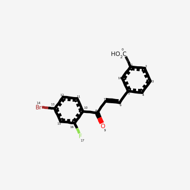 O=C(O)c1cccc(C=CC(=O)c2ccc(Br)cc2F)c1